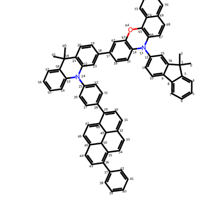 CC1(C)c2ccccc2-c2ccc(N3c4ccc(-c5ccc6c(c5)N(c5ccc(C7=CC=C8C=CC9=C(c%10ccccc%10)C=CC%10=CC=C7C8C%109)cc5)c5ccccc5C6(C)C)cc4Oc4c3ccc3ccccc43)cc21